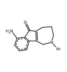 CC(=O)N1CCCC2=C(C1)c1cccc(N)c1C2=O